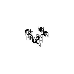 N#Cc1ccc(NCC(F)(F)c2ncccn2)nc1CC(=O)NCc1cnccc1-n1cncn1